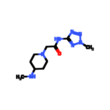 CNC1CCN(CC(=O)Nc2nnn(C)n2)CC1